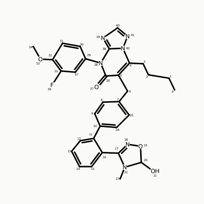 CCCCc1c(Cc2ccc(-c3ccccc3C3=NOC(O)N3C)cc2)c(=O)n(-c2ccc(OC)c(F)c2)c2ncnn12